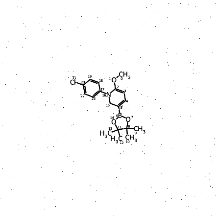 COC1=CC=C(B2OC(C)(C)C(C)(C)O2)CN1c1ccc(Cl)cc1